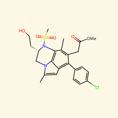 COC(=O)Cc1c(C)c2c3c(cc(C)n3C[C@H](CCO)N2S(C)(=O)=O)c1-c1ccc(Cl)cc1